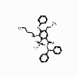 CCCCNc1c(Oc2ccccc2)c(COC)cc(C(=O)OC(c2ccccc2)c2ccccc2)c1S(N)(=O)=O